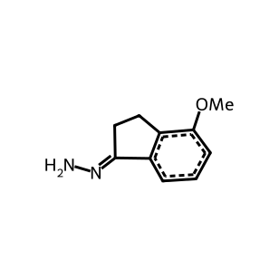 COc1cccc2c1CC/C2=N\N